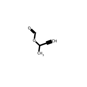 C#CC(C)O[C]=O